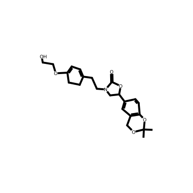 CC1(C)OCc2cc(C3CN(CCC4=CC=C(OCCO)CC4)C(=O)O3)ccc2O1